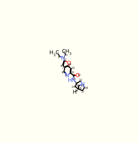 CCN(CC)c1cc2cnc(C(=O)N[C@@H]3C[C@@H]4CCN(C4)C3)cc2o1